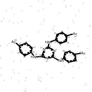 CC(=O)c1ccc(Nc2nc(Nc3ccc(C(C)=O)cc3)nc(Nc3ccc(C(C)=O)cc3)n2)cc1